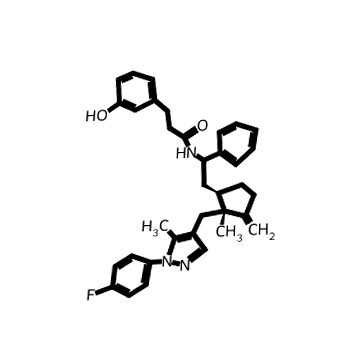 C=C1CC[C@H](CC(NC(=O)CCc2cccc(O)c2)c2ccccc2)[C@@]1(C)Cc1cnn(-c2ccc(F)cc2)c1C